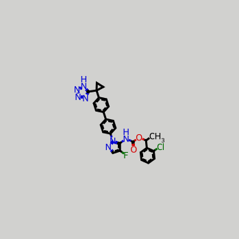 CC(OC(=O)Nc1c(F)cnn1-c1ccc(-c2ccc(C3(c4nnn[nH]4)CC3)cc2)cc1)c1ccccc1Cl